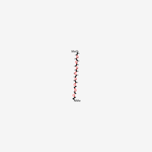 CNCCOCCOCCOCCOCCOCCOCCOCCOCCOC